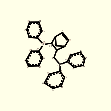 C1=CC2CC1C(CP(c1ccccc1)c1ccccc1)[C@H]2P(c1ccccc1)c1ccccc1